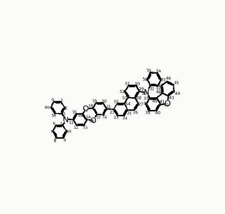 c1ccc(N(c2ccccc2)c2ccc3c(c2)Oc2ccc(-c4ccc5ccc6c(N(c7ccccc7)c7cccc8oc9ccccc9c78)cccc6c5c4)cc2O3)cc1